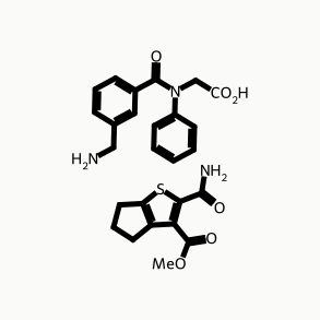 COC(=O)c1c(C(N)=O)sc2c1CCC2.NCc1cccc(C(=O)N(CC(=O)O)c2ccccc2)c1